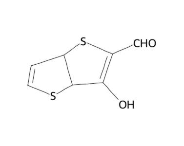 O=CC1=C(O)C2SC=CC2S1